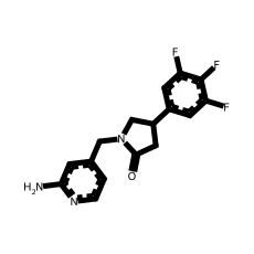 Nc1cc(CN2CC(c3cc(F)c(F)c(F)c3)CC2=O)ccn1